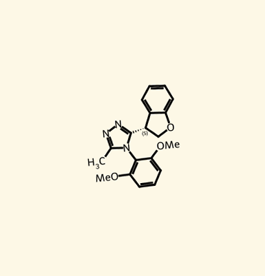 COc1cccc(OC)c1-n1c(C)nnc1[C@H]1COc2ccccc21